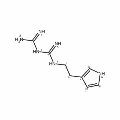 N=C(N)NC(=N)NCCc1cc[nH]c1